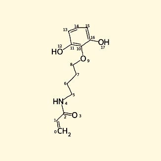 C=CC(=O)NCCCCOc1c(O)cccc1O